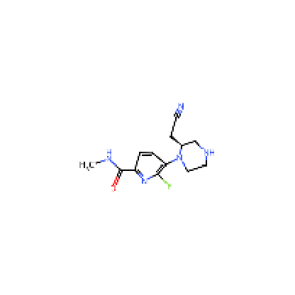 CNC(=O)c1ccc(N2CCNC[C@@H]2CC#N)c(F)n1